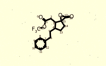 O=C(CC1C(C[CH]c2ccccc2)C[CH]C12OC2=O)OC(F)(F)F